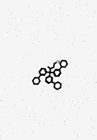 CC(CCO)C(c1cccc(C2CCCCC2)c1)(c1cccc(C2CCCCC2)c1)c1cccc(C2CCCCC2)c1